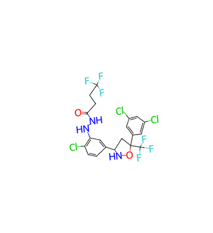 O=C(CCC(F)(F)F)NNc1cc(C2CC(c3cc(Cl)cc(Cl)c3)(C(F)(F)F)ON2)ccc1Cl